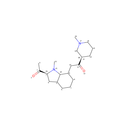 CC(=O)[C@@H]1CC2CCCC(CC(=O)[C@@H]3CCCN(C)C3)C2N1C